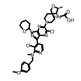 COc1ccc(CN(C)c2nccc(-c3nn(C4CCCCO4)c4nc(N5CCC6(CC5)CO[C@@H](C)[C@H]6NC(=O)O)c(Cl)nc34)c2Cl)cc1